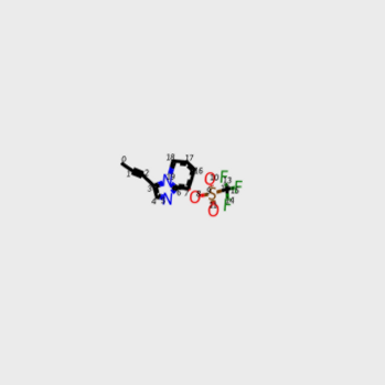 CC#Cc1cnc2c(OS(=O)(=O)C(F)(F)F)cccn12